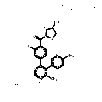 Cc1ncnc(-c2ccc(C(=O)N3CC(O)CO3)c(F)c2)c1-c1ccc(N)nc1